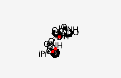 CC(C)OC(=O)[C@H](C)N[P@@](=O)(OC[C@@]12CO[C@@H]([C@H](n3ccc(=O)[nH]c3=O)O1)[C@@H]2O)Oc1ccccc1